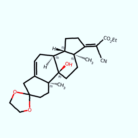 CCOC(=O)C(C#N)=C1CC[C@H]2[C@@H]3CC=C4CC5(CC[C@]4(C)[C@@]3(O)CC[C@]12C)OCCO5